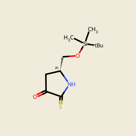 CC(C)(C)[Si](C)(C)OC[C@H]1CC(=O)C(=S)N1